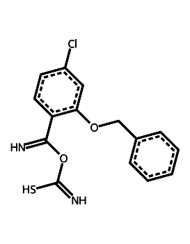 N=C(S)OC(=N)c1ccc(Cl)cc1OCc1ccccc1